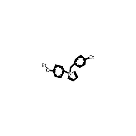 CCOc1ccc([N+]2(Cc3ccc(CC)cc3)C=CC=C2)cc1